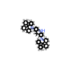 CC1(C)c2cc(N3C4=C(CCC=C4)C(C4=CC=CCC4)(c4ccccc4)c4ccccc43)ccc2Nc2ccc(N3C4=C(C=CCC4)C(C4C=CC=CC4)(C4CC=CCC4)c4ccccc43)cc21